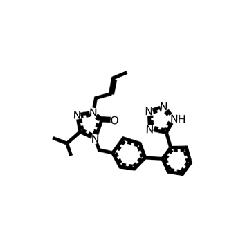 CC=CCn1nc(C(C)C)n(Cc2ccc(-c3ccccc3-c3nnn[nH]3)cc2)c1=O